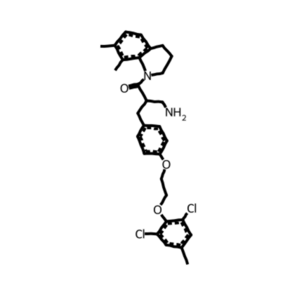 Cc1cc(Cl)c(OCCOc2ccc(CC(CN)C(=O)N3CCCc4ccc(C)c(C)c43)cc2)c(Cl)c1